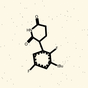 CC(C)(C)c1cc(F)cc(C2CCC(=O)NC2=O)c1F